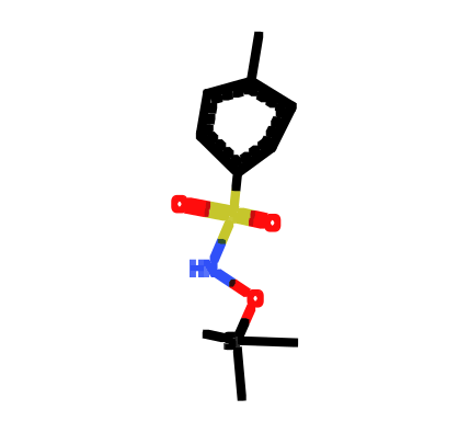 Cc1ccc(S(=O)(=O)NO[Si](C)(C)C)cc1